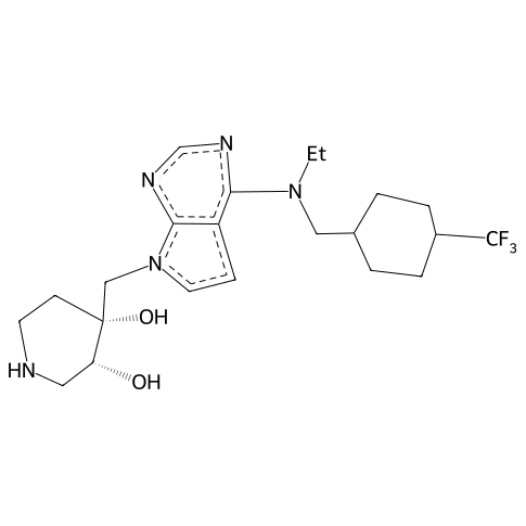 CCN(CC1CCC(C(F)(F)F)CC1)c1ncnc2c1ccn2C[C@]1(O)CCNC[C@H]1O